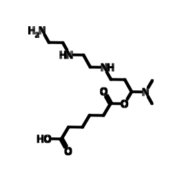 CN(C)C(CCNCCNCCN)OC(=O)CCCCC(=O)O